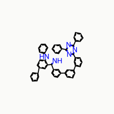 N=C(c1cccc(-c2cccc(-c3cccc(-c4nc(-c5ccccc5)nc(-c5ccccc5)n4)c3)c2)c1)c1cc(-c2ccccc2)ccc1Nc1ccccc1